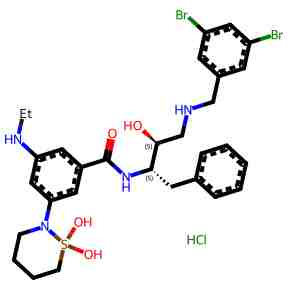 CCNc1cc(C(=O)N[C@@H](Cc2ccccc2)[C@@H](O)CNCc2cc(Br)cc(Br)c2)cc(N2CCCCS2(O)O)c1.Cl